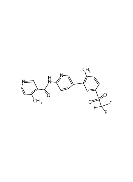 Cc1ccncc1C(=O)Nc1ccc(-c2cc(S(=O)(=O)C(F)(F)F)ccc2C)cn1